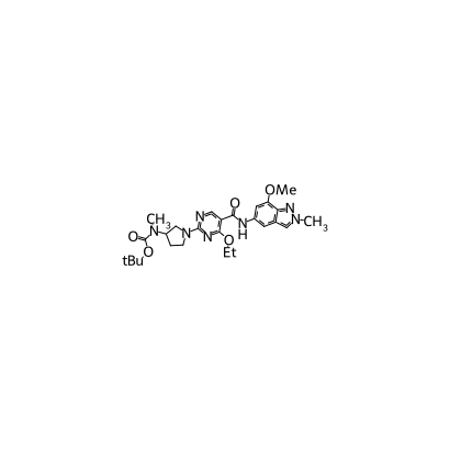 CCOc1nc(N2CCC(N(C)C(=O)OC(C)(C)C)C2)ncc1C(=O)Nc1cc(OC)c2nn(C)cc2c1